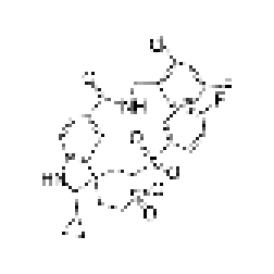 O=C(NCc1ccc(F)cc1Cl)c1ccc2c(c1)C1(CCS(=O)(=O)C(S(=O)(=O)c3ccc(F)cc3)C1)C(C1CC1)N2